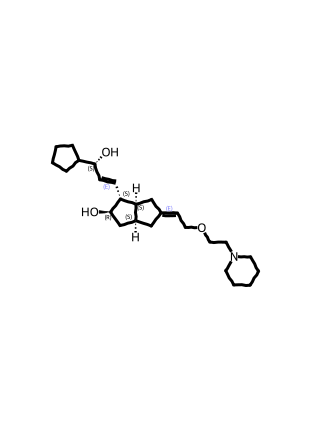 O[C@H](/C=C/[C@@H]1[C@H]2C/C(=C/COCCN3CCCCC3)C[C@H]2C[C@H]1O)C1CCCC1